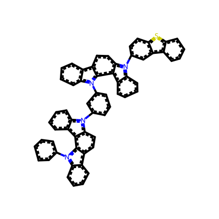 c1ccc(-n2c3ccccc3c3ccc4c(c5ccccc5n4-c4cccc(-n5c6ccccc6c6ccc7c(c8ccccc8n7-c7ccc8sc9ccccc9c8c7)c65)c4)c32)cc1